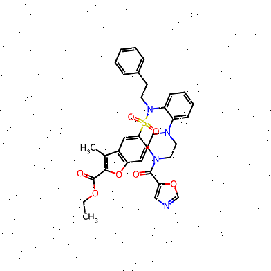 CCOC(=O)c1oc2ccc(S(=O)(=O)N(CCc3ccccc3)c3ccccc3N3CCN(C(=O)c4cnco4)CC3)cc2c1C